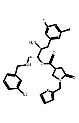 CCc1cccc(CNC[C@@H](OC(=O)C2CC(=O)N(Cc3cccs3)C2)[C@@H](N)Cc2cc(F)cc(F)c2)c1